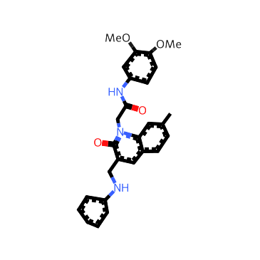 COc1ccc(NC(=O)Cn2c(=O)c(CNc3ccccc3)cc3ccc(C)cc32)cc1OC